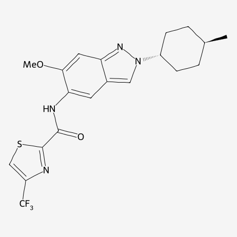 COc1cc2nn([C@H]3CC[C@H](C)CC3)cc2cc1NC(=O)c1nc(C(F)(F)F)cs1